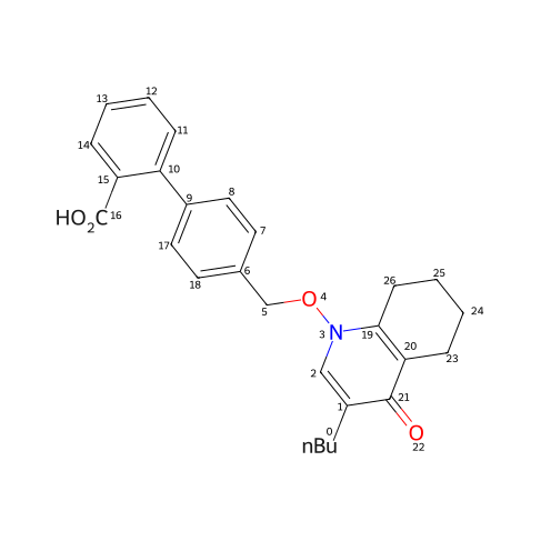 CCCCc1cn(OCc2ccc(-c3ccccc3C(=O)O)cc2)c2c(c1=O)CCCC2